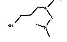 B.BB(CCCC)SN(C)F